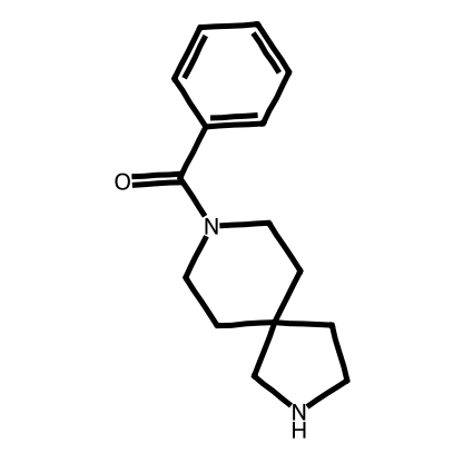 O=C(c1ccccc1)N1CCC2(CCNC2)CC1